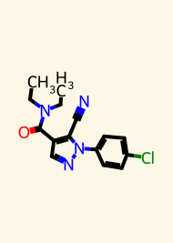 CCN(CC)C(=O)c1cnn(-c2ccc(Cl)cc2)c1C#N